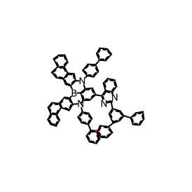 c1ccc(-c2ccc(N3c4cc5c(ccc6ccccc65)cc4B4c5cc6ccc7ccccc7c6cc5N(c5ccc(-c6ccccc6)cc5)c5cc(-c6nc(-c7cc(-c8ccccc8)cc(-c8ccccc8)c7)nc7ccccc67)cc3c54)cc2)cc1